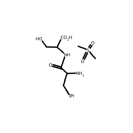 CC(C)CC(N)C(=O)NC(CO)C(=O)O.CS(C)(=O)=O